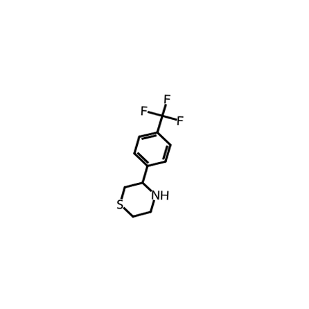 FC(F)(F)c1ccc(C2CSCCN2)cc1